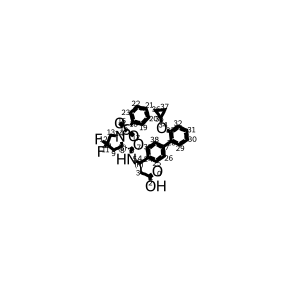 O=C(O)C[C@@H](NC(=O)[C@@H]1CC(F)(F)CN1S(=O)(=O)c1ccccc1)c1ccc(-c2ccccc2OC2CC2)cc1